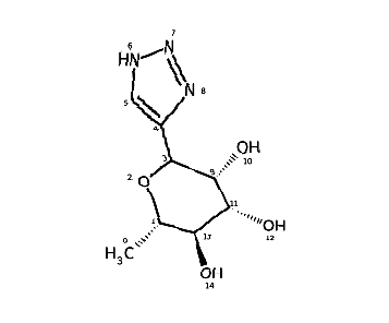 C[C@@H]1OC(c2c[nH]nn2)[C@H](O)[C@H](O)[C@H]1O